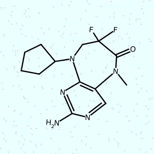 CN1C(=O)C(F)(F)CN(C2CCCC2)c2nc(N)ncc21